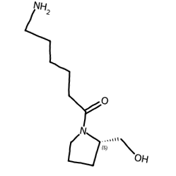 NCCCCCC(=O)N1CCC[C@H]1CO